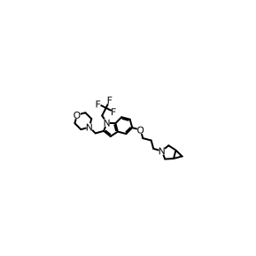 FC(F)(F)Cn1c(CN2CCOCC2)cc2cc(OCCCN3CC4CC4C3)ccc21